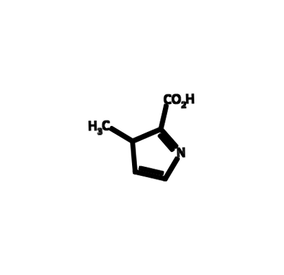 CC1C=CN=C1C(=O)O